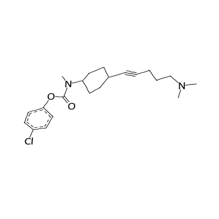 CN(C)CCCC#CC1CCC(N(C)C(=O)Oc2ccc(Cl)cc2)CC1